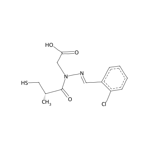 C[C@H](CS)C(=O)N(CC(=O)O)/N=C/c1ccccc1Cl